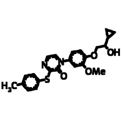 COc1cc(-n2ccnc(Sc3ccc(C)cc3)c2=O)ccc1OCC(O)C1CC1